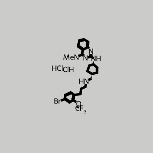 CNc1nc(N[C@H]2CC[C@@H](CNCCCc3ccc(Br)cc3OC(F)(F)F)CC2)nc2ccccc12.Cl.Cl